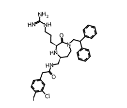 N=C(N)NCCC[C@@H]1N[C@H](CNC(=O)Cc2ccc(I)c(Cl)c2)CCN(CC(c2ccccc2)c2ccccc2)C1=O